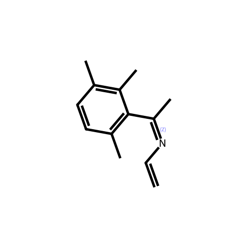 C=C/N=C(/C)c1c(C)ccc(C)c1C